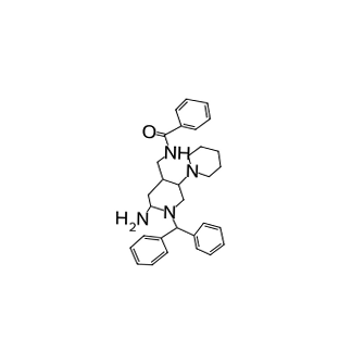 NC1CC(CNC(=O)c2ccccc2)C(N2CCCCC2)CN1C(c1ccccc1)c1ccccc1